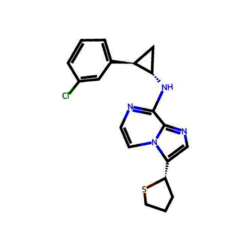 Clc1cccc([C@H]2C[C@@H]2Nc2nccn3c([C@@H]4CCCS4)cnc23)c1